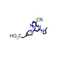 CC1CCN1c1cc(N2CC3C(CC(=O)O)C3C2)n2ncc(C#N)c2n1